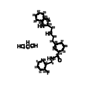 Cl.Cl.Cl.O=C(NCc1ncccc1F)c1cccc(CCNCc2nc3ccccc3[nH]2)n1